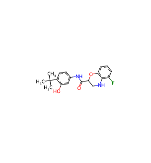 CC(C)(C)c1ccc(NC(=O)C2CNc3c(F)cccc3O2)cc1O